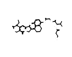 CC[C@@]1(O)C(=O)OCc2c1cc1n(c2=O)Cc2c-1nc1ccc(NC(=O)[C@H](C)NC(=O)[C@@H](NC(=O)CCN)C(C)C)c3c1c2CCC3